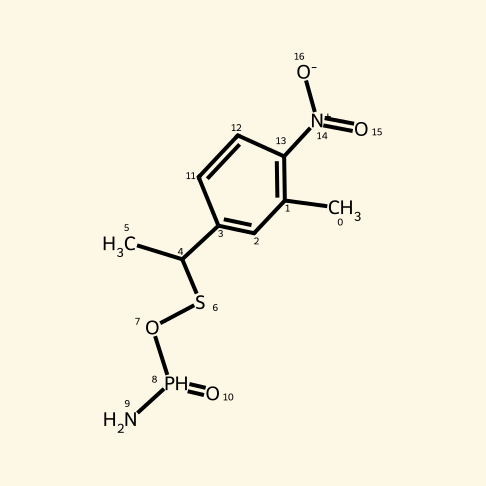 Cc1cc(C(C)SO[PH](N)=O)ccc1[N+](=O)[O-]